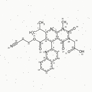 CC(C)c1nc2c(c(-c3ccc4ccccc4n3)c1C(=O)OCCC#N)c(=O)n(CC(=O)O)c(=O)n2C